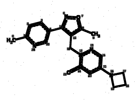 Cc1ccc(-c2noc(C)c2Cn2ncc(N3CCC3)cc2=O)cn1